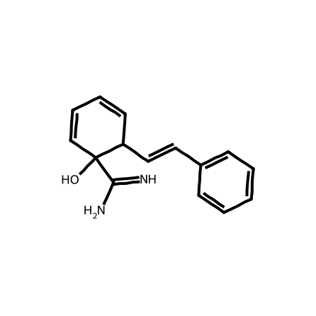 N=C(N)C1(O)C=CC=CC1C=Cc1ccccc1